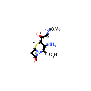 CON=CC(=O)C1SC2CC(=O)N2C(C(=O)O)=C1N